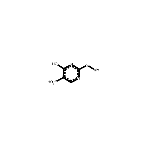 CCCSc1ncc(S(=O)(=O)O)c(O)n1